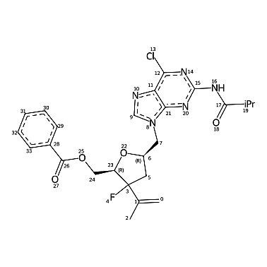 C=C(C)C1(F)C[C@H](Cn2cnc3c(Cl)nc(NC(=O)C(C)C)nc32)O[C@@H]1COC(=O)c1ccccc1